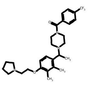 Cc1c(OCCN2CCCC2)ccc(C(C)N2CCN(C(=O)c3ccc(C(F)(F)F)cc3)CC2)c1C